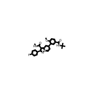 CNC(=O)c1c(-c2ccc(F)cc2)nn2ccc(-c3cc(C(=O)NC(C)(C)C)ccc3OC)cc12